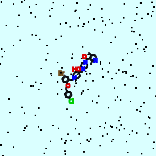 Cc1ccnc(C)c1C(=O)N1CCN(CC2(O)CCN(Cc3cc(Br)ccc3OCc3ccc(Cl)cc3)CC2)CC1